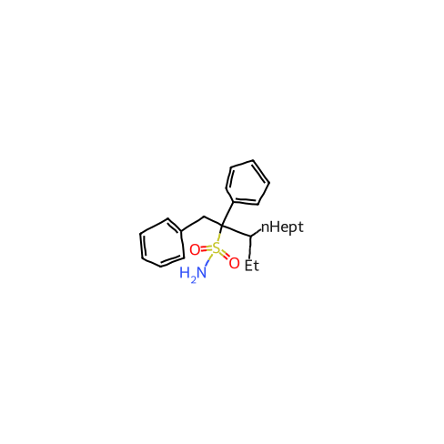 CCCCCCCC(CC)C(Cc1ccccc1)(c1ccccc1)S(N)(=O)=O